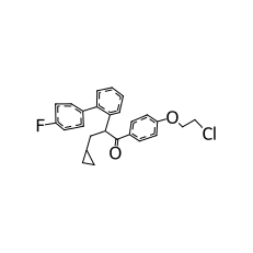 O=C(c1ccc(OCCCl)cc1)C(CC1CC1)c1ccccc1-c1ccc(F)cc1